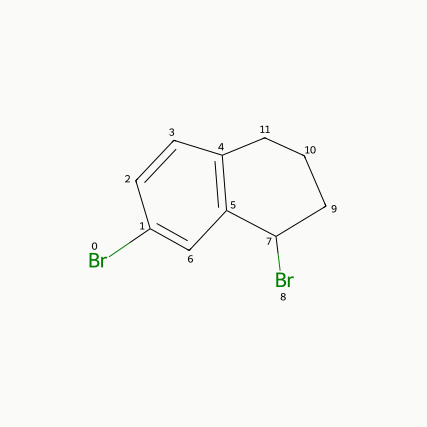 Brc1ccc2c(c1)C(Br)CCC2